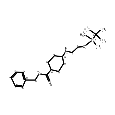 CC(C)(C)[Si](C)(C)OCCNC1CCC(C(=O)OCc2ccccc2)CC1